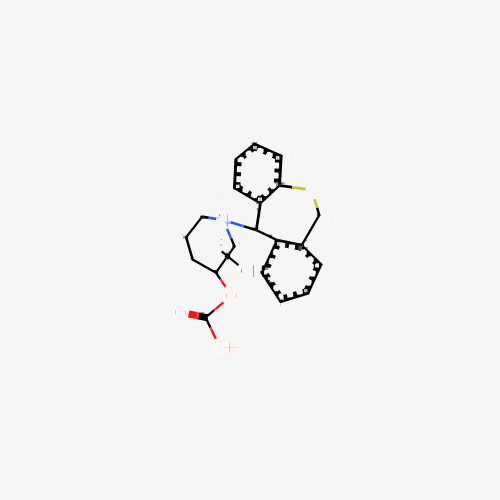 CC[N@@+]12CCCC(OC(=O)O)C1[C@]21c2ccccc2CSc2ccccc21